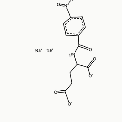 O=C([O-])CCC(NC(=O)c1ccc([N+](=O)[O-])cc1)C(=O)[O-].[Na+].[Na+]